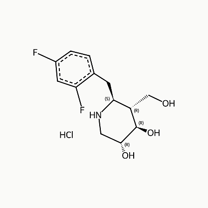 Cl.OC[C@@H]1[C@@H](O)[C@H](O)CN[C@H]1Cc1ccc(F)cc1F